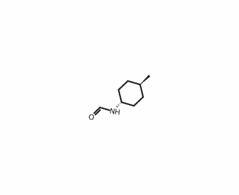 C[C@H]1CC[C@H](NC=O)CC1